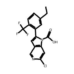 CCc1ccc(C(F)(F)F)c(-c2cc3cnc(Cl)cc3n2C(=O)O)c1